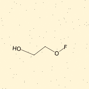 OCCOF